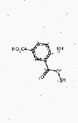 O=C(O)c1cccc(C(=O)OS)c1.[KH]